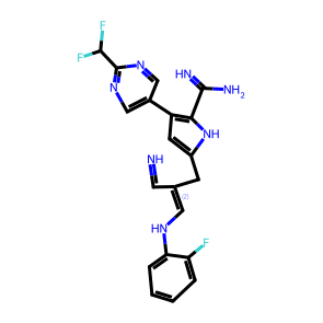 N=C/C(=C\Nc1ccccc1F)Cc1cc(-c2cnc(C(F)F)nc2)c(C(=N)N)[nH]1